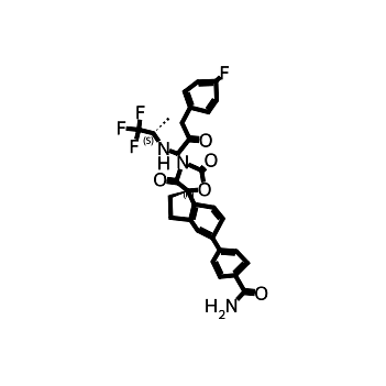 C[C@H](NC(C(=O)Cc1ccc(F)cc1)N1C(=O)O[C@@]2(CCc3cc(-c4ccc(C(N)=O)cc4)ccc32)C1=O)C(F)(F)F